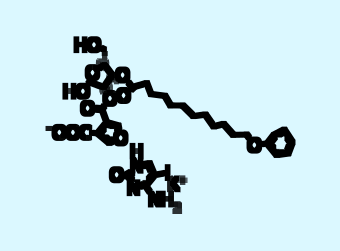 Nc1nc(=O)[nH]cc1I.O=C(CCCCCCCCCCCOc1ccccc1)O[C@H]1[C@H](OC(=O)c2cocc2C(=O)[O-])C(O)O[C@@H]1CO.[K+]